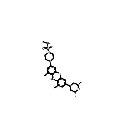 Cc1cc(N2CCN(S(=O)(=O)NI)CC2)cc2c1Nc1c(C)cc(N3C[C@@H](C)O[C@H](C)C3)cc1S2